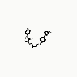 CC(CCOc1ccc(-c2ccc(Cl)s2)cc1)CCN1CCN(c2ccncc2)C1=O